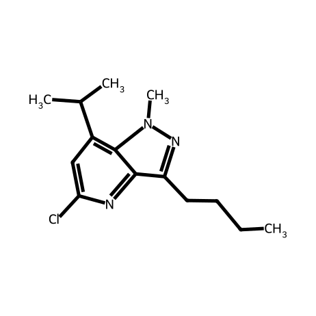 CCCCc1nn(C)c2c(C(C)C)cc(Cl)nc12